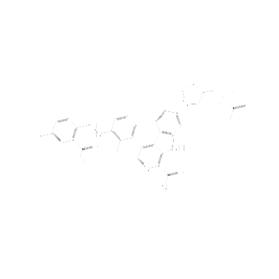 C=C(C)[Si](C)(C)OC1CCN(c2ccc3c(c2)[nH]c2c(C(N)=O)ncc(-c4cccc(NCc5ccc(Cl)cc5C(=O)O)c4C)c23)C1